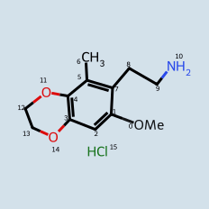 COc1cc2c(c(C)c1CCN)OCCO2.Cl